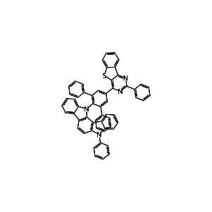 c1ccc(-c2nc(-c3cc(-c4ccccc4)c(-n4c5ccccc5c5ccc6c(c7ccccc7n6-c6ccccc6)c54)c(-c4ccccc4)c3)c3sc4ccccc4c3n2)cc1